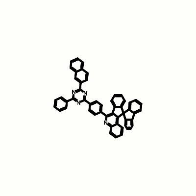 c1ccc(-c2nc(-c3ccc(-c4nc5ccccc5c5c4-c4ccccc4C54c5ccccc5-c5ccccc54)cc3)nc(-c3ccc4ccccc4c3)n2)cc1